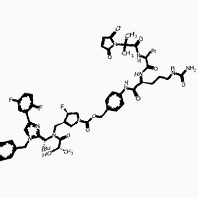 CC(C)C(NC(=O)C(C)(C)N1C(=O)C=CC1=O)C(=O)N[C@@H](CCCNC(N)=O)C(=O)Nc1ccc(COC(=O)N2C[C@@H](CN(C(=O)[C@H](C)O)[C@@H](c3nc(-c4cc(F)ccc4F)cn3Cc3cccc(F)c3)C(C)(C)C)[C@@H](F)C2)cc1